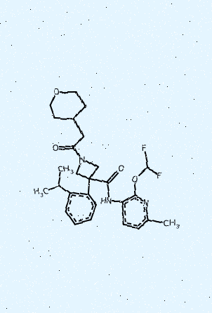 Cc1ccc(NC(=O)C2(c3ccccc3C(C)C)CN(C(=O)CC3CCOCC3)C2)c(OC(F)F)n1